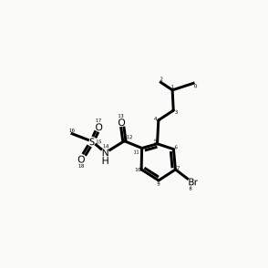 CC(C)CCc1cc(Br)ccc1C(=O)NS(C)(=O)=O